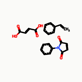 C=Cc1ccccc1.O=C(O)C=CC(=O)O.O=C1C=CC(=O)N1c1ccccc1